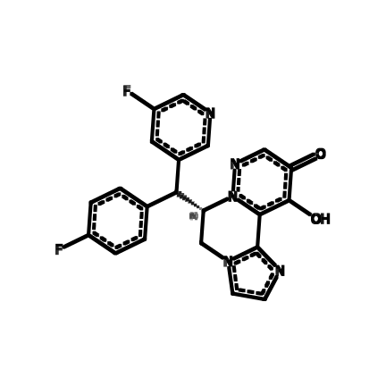 O=c1cnn2c(c1O)-c1nccn1C[C@@H]2C(c1ccc(F)cc1)c1cncc(F)c1